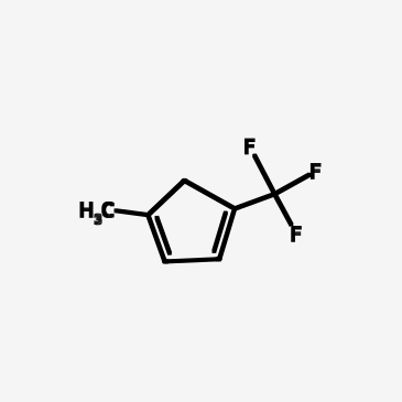 CC1=CC=C(C(F)(F)F)C1